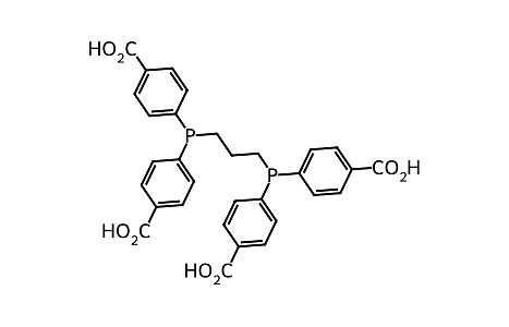 O=C(O)c1ccc(P(CCCP(c2ccc(C(=O)O)cc2)c2ccc(C(=O)O)cc2)c2ccc(C(=O)O)cc2)cc1